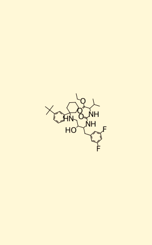 CCOC(=O)C(NC(=O)NC(Cc1cc(F)cc(F)c1)C(O)CNC1(c2cccc(C(C)(C)C)c2)CCCCC1)C(C)C